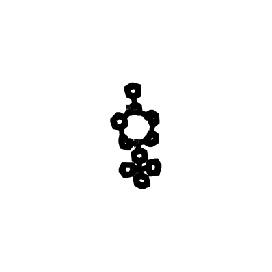 c1ccc(-c2cc3nc(n2)-c2cccc(c2)-c2cccc(c2)N(c2ccc([Si](c4ccccc4)(c4ccccc4)c4ccccc4)cc2)c2cccc(c2)-c2cccc-3c2)cc1